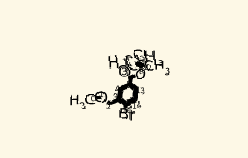 COCc1cc(C(=O)OC(C)(C)C)ccc1Br